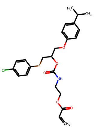 C=CC(=O)OCCNC(=O)OC(COc1ccc(C(C)C)cc1)CSc1ccc(Cl)cc1